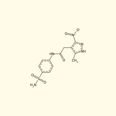 Cc1[nH]nc([N+](=O)[O-])c1CC(=O)Nc1ccc(S(N)(=O)=O)cc1